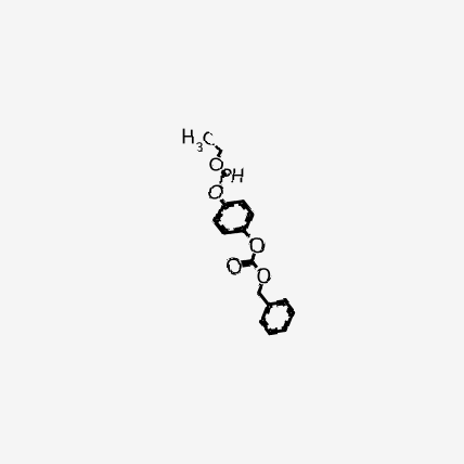 CCOPOc1ccc(OC(=O)OCc2ccccc2)cc1